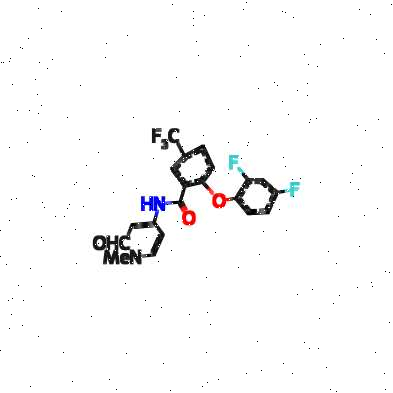 CN/C=C\C(=C/C=O)NC(=O)c1cc(C(F)(F)F)ccc1Oc1ccc(F)cc1F